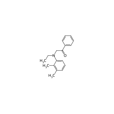 CCN(CC(=O)c1ccccc1)c1cccc(C)c1C